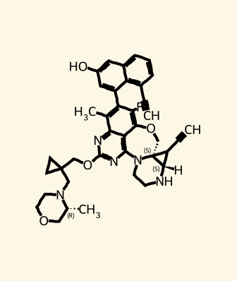 C#Cc1cccc2cc(O)cc(-c3c(F)c4c5c(nc(OCC6(CN7CCOC[C@H]7C)CC6)nc5c3C)N3CCN[C@H]5C(C#C)[C@@]53CO4)c12